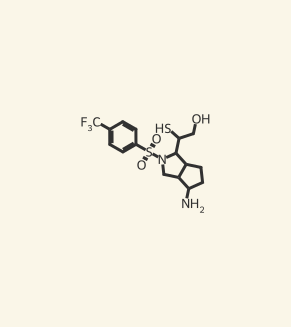 NC1CCC2C1CN(S(=O)(=O)c1ccc(C(F)(F)F)cc1)C2C(S)CO